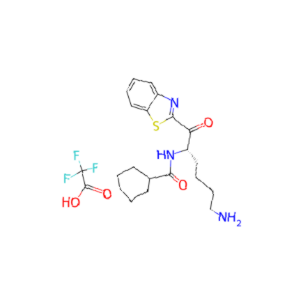 NCCCC[C@H](NC(=O)C1CCCCC1)C(=O)c1nc2ccccc2s1.O=C(O)C(F)(F)F